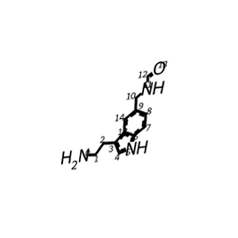 NCCc1c[nH]c2ccc(CNC=O)cc12